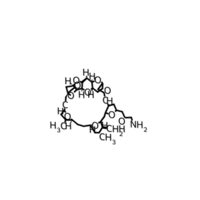 C=C1[C@H](C)C[C@@H]2CC[C@@H]3O[C@@H](CC[C@@]45C[C@H]6OC7[C@@H](O[C@H]8CCC(CC(=O)C[C@@H]9CC(CC(O)CN)OC9C[C@H]1O2)O[C@@H]8[C@@H]7O4)C6O5)CC3C